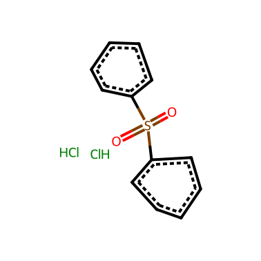 Cl.Cl.O=S(=O)(c1ccccc1)c1ccccc1